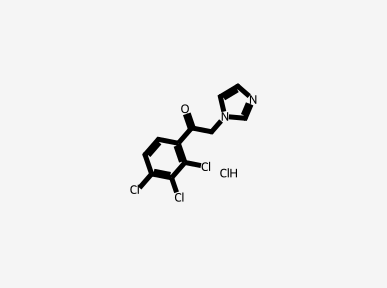 Cl.O=C(Cn1ccnc1)c1ccc(Cl)c(Cl)c1Cl